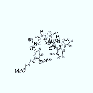 COCCCOc1cc(C(=O)N(CC2CNCC2CN(C(=O)NC(c2ccccc2)c2ccccc2)C2CC2)C(C)C)ccc1OC